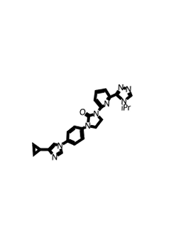 CC(C)n1cnnc1-c1cccc(N2CCN(c3ccc(-n4cnc(C5CC5)c4)cc3)C2=O)n1